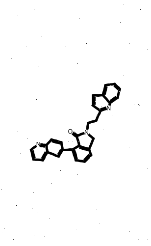 O=C1c2c(cccc2-c2ccc3ncccc3c2)CN1CCc1ccc2ccccc2n1